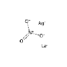 O=[N+]([O-])[O-].[Ag+].[La]